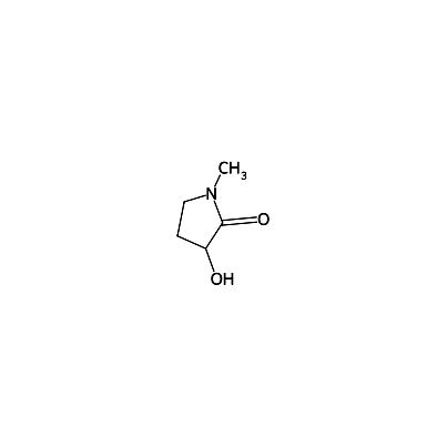 CN1CCC(O)C1=O